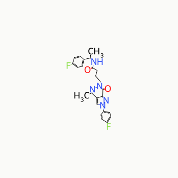 Cc1nn(CCCC(=O)NC(C)c2ccc(F)cc2)c(=O)c2nn(-c3ccc(F)cc3)cc12